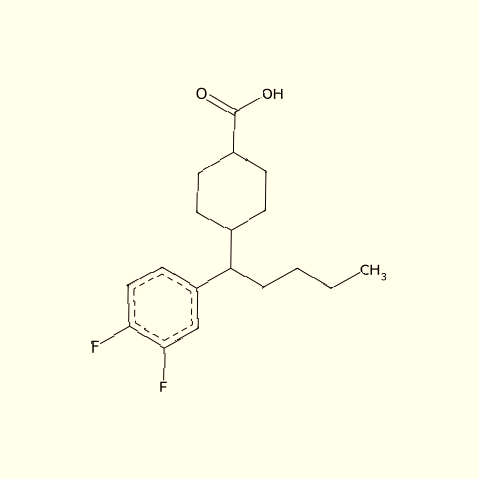 CCCCC(c1ccc(F)c(F)c1)C1CCC(C(=O)O)CC1